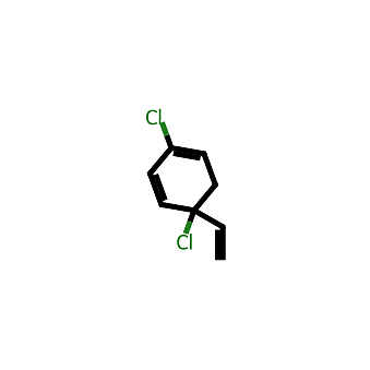 C=CC1(Cl)C=CC(Cl)=CC1